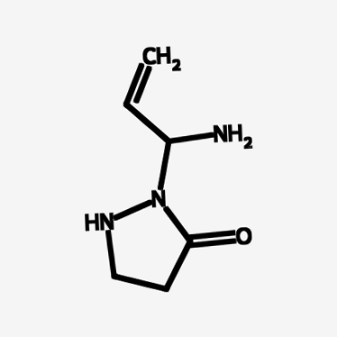 C=CC(N)N1NCCC1=O